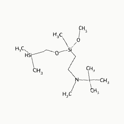 CO[Si](C)(CCN(C)C(C)(C)C)OC[SiH](C)C